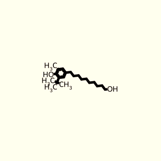 Cc1cc(CCCCCCCCCCO)cc(C(C)(C)C)c1O